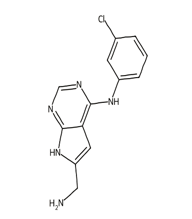 NCc1cc2c(Nc3cccc(Cl)c3)ncnc2[nH]1